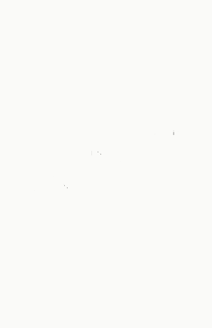 CC(C)c1ccc(S(=O)(=O)NCCCN2CCOCC2)cc1